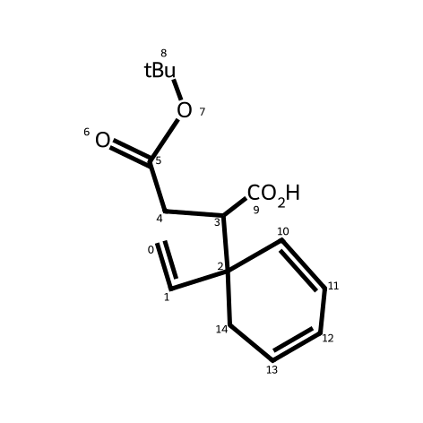 C=CC1(C(CC(=O)OC(C)(C)C)C(=O)O)C=CC=CC1